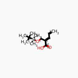 C=C/C=C(\CO[Si](C)(C)C(C)(C)C)C(=O)O